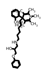 COc1ccccc1C1(CCCCCCNCC(O)COc2ccccc2)C(C(=O)O)=C(C)N(C)C(C)=C1C(=O)O